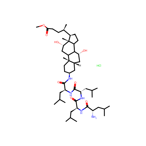 COC(=O)CC[C@@H](C)[C@H]1CCC2C3C(C[C@H](O)[C@@]21C)[C@@]1(C)CC[C@H](NC(=O)[C@H](CC(C)C)NC(=O)[C@H](CC(C)C)NC(=O)[C@H](CC(C)C)NC(=O)[C@@H](N)CC(C)C)C[C@H]1C[C@H]3O.Cl